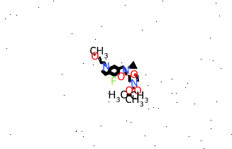 COCCCn1ccc2c(F)cc(CN(C(=O)[C@H]3CN(C(=O)OC(C)(C)C)CCO3)C3CC3)cc21